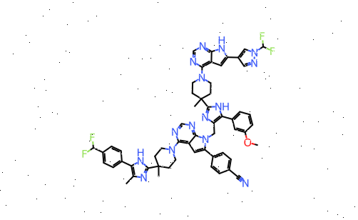 COc1cccc(-c2[nH]c(C3(C)CCN(c4ncnc5[nH]c(-c6cnn(C(F)F)c6)cc45)CC3)nc2Cn2c(-c3ccc(C#N)cc3)cc3c(N4CCC(C)(c5nc(C)c(-c6ccc(C(F)F)cc6)[nH]5)CC4)ncnc32)c1